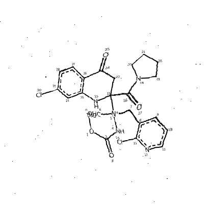 CC(C)(C)OC(=O)N[N+](C=O)(Cc1cccnc1Cl)C1(C(=O)N2CCCC2)CC(=O)c2ccc(Cl)cc2N1